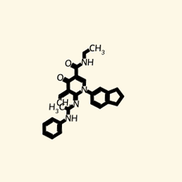 C/C=C1/C(=O)C(C(=O)NCC)=CN(c2ccc3c(c2)CCC3)/C1=N/C(C)Nc1ccccc1